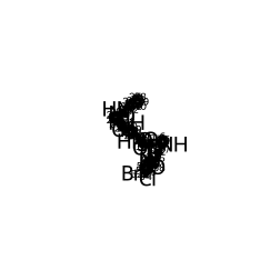 O=C(C[C@H]1NCCC[C@@H]1OC(=O)NS(=O)(=O)NCC1CCN(C(=O)Nc2nccnc2C(=O)NC2Cc3ccccc3C2)CC1)Cn1cnc2cc(Br)c(Cl)cc2c1=O